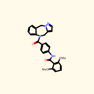 COc1cccc(OC)c1C(=O)Nc1ccc(C(=O)N2Cc3ccnn3Cc3ccccc32)cc1